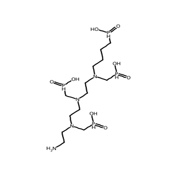 NCCN(CCN(CCN(CCCC[PH](=O)O)C[PH](=O)O)C[PH](=O)O)C[PH](=O)O